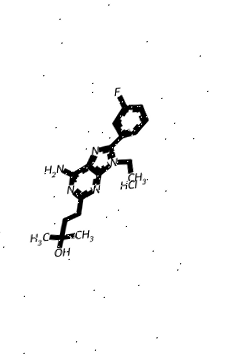 CCn1c(-c2cccc(F)c2)nc2c(N)nc(CCC(C)(C)O)nc21.Cl